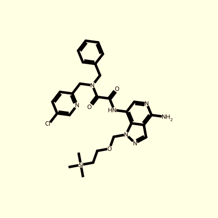 C[Si](C)(C)CCOCn1ncc2c(N)ncc(NC(=O)C(=O)N(Cc3ccccc3)Cc3ccc(Cl)cn3)c21